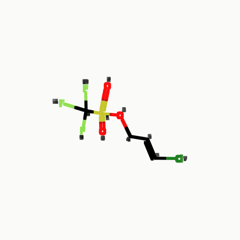 O=S(=O)(OCC=CCl)C(F)(F)F